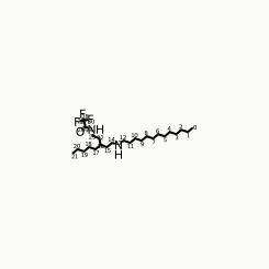 CCCCCCCCCCCCCNCCC(CCCCC)CCNC(=O)C(F)(F)F